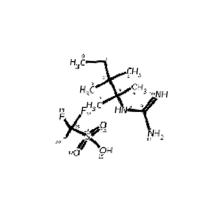 CCC(C)(C)C(C)(C)NC(=N)N.O=S(=O)(O)C(F)(F)F